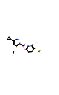 CCSc1cc(C2CC2)cnc1-c1nc2c(C)c(SC(F)(F)F)ccc2o1